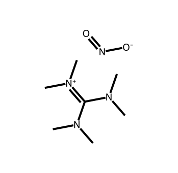 CN(C)C(N(C)C)=[N+](C)C.O=N[O-]